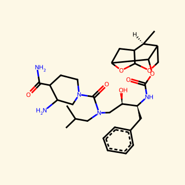 CC(C)CN(C[C@@H](O)[C@H](Cc1ccccc1)NC(=O)OC1C2CC3C(OCC1[C@@H]3C)O2)C(=O)N1CCC(C(N)=O)C(N)C1